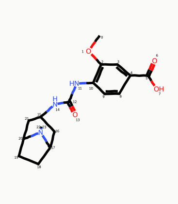 COc1cc(C(=O)O)ccc1NC(=O)NC1CC2CCC(C1)N2C